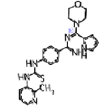 Cc1ncccc1NC(=S)Nc1ccc(C(=N)/N=C(\c2ccc[nH]2)N2CCOCC2)cc1